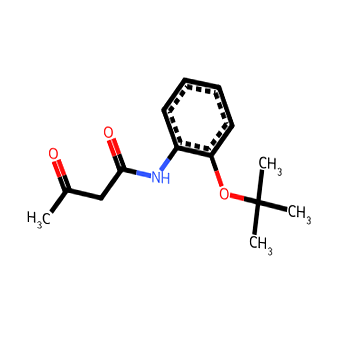 CC(=O)CC(=O)Nc1ccccc1OC(C)(C)C